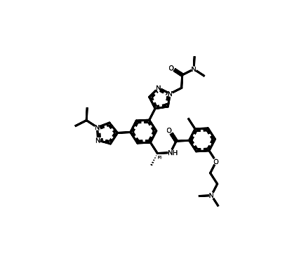 Cc1ccc(OCCN(C)C)cc1C(=O)N[C@H](C)c1cc(-c2cnn(CC(=O)N(C)C)c2)cc(-c2cnn(C(C)C)c2)c1